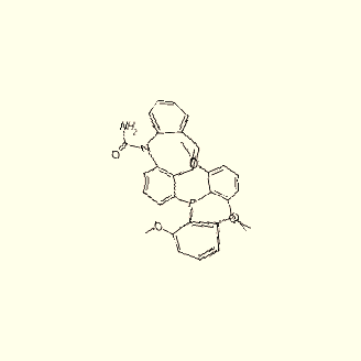 COc1cccc(OC)c1P(c1cccc2c1C=Cc1ccccc1N2C(N)=O)c1c(OC)cccc1OC